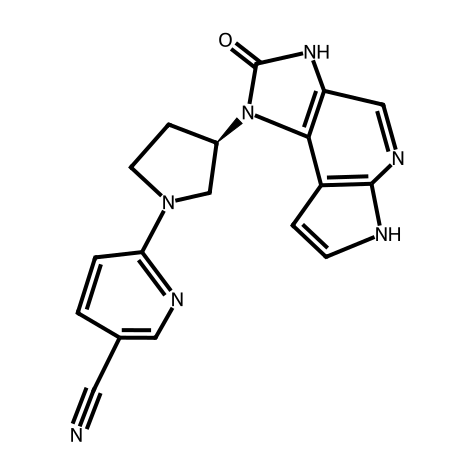 N#Cc1ccc(N2CC[C@@H](n3c(=O)[nH]c4cnc5[nH]ccc5c43)C2)nc1